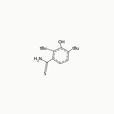 CC(C)(C)c1ccc(C(N)=S)c(C(C)(C)C)c1O